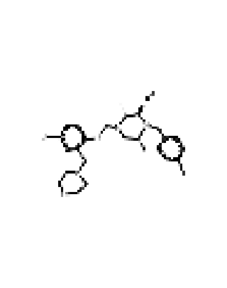 C[C@@H]1C(=C=O)N(Cc2ccc(F)cc2)[C@@H](C)CN1COc1ccc(Cl)cc1CN1CCOCC1